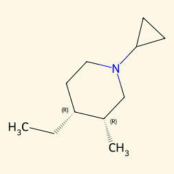 CC[C@@H]1CCN(C2CC2)C[C@@H]1C